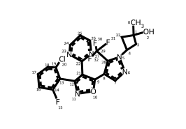 CC1(O)CC(n2ncc(-c3onc(-c4c(F)cccc4Cl)c3-c3ncccn3)c2C(F)(F)F)C1